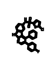 O=S(=O)(Nc1ccc2[nH]c3ncc(-c4ccc(F)cc4)c(-c4ccccc4)c3c2c1)c1ccc(Cl)s1